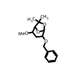 COC1CC(OCc2ccccc2)C2OC1C(C)(C)O2